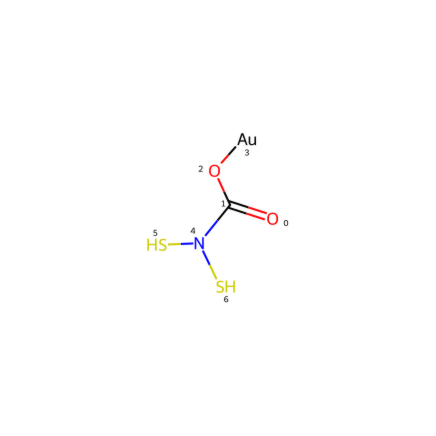 O=C([O][Au])N(S)S